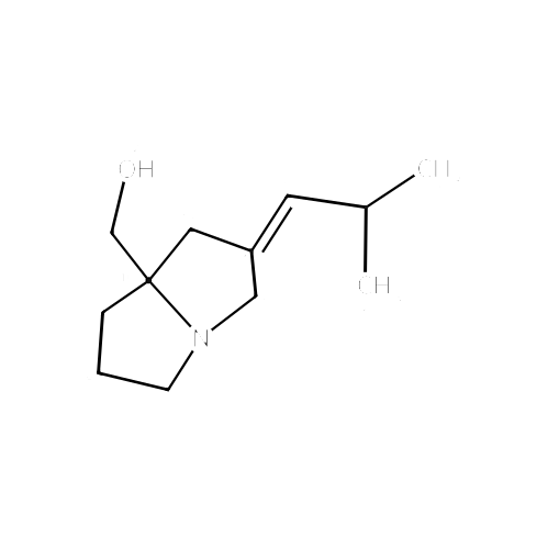 CC(C)C=C1CN2CCCC2(CO)C1